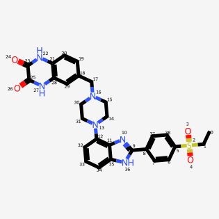 CCS(=O)(=O)c1ccc(-c2nc3c(N4CCN(Cc5ccc6[nH]c(=O)c(=O)[nH]c6c5)CC4)cccc3[nH]2)cc1